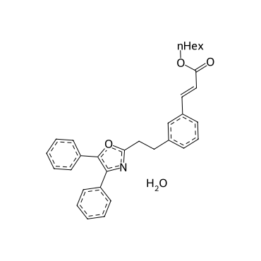 CCCCCCOC(=O)C=Cc1cccc(CCc2nc(-c3ccccc3)c(-c3ccccc3)o2)c1.O